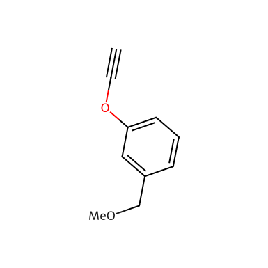 C#COc1cccc(COC)c1